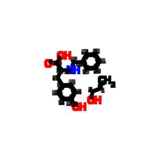 C=CCO.O=C(O)[C@H](Cc1ccc(O)cc1)NCc1ccccc1